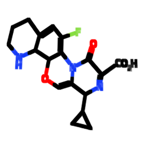 O=C(O)C1=NC(C2CC2)C2=COC3C(=C(F)C=C4CCCNC43)N2C1=O